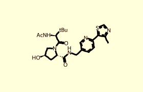 CC(=O)N[C@H](C(=O)N1C[C@H](O)C[C@H]1C(=O)NCc1ccc(-c2scnc2C)nc1)C(C)(C)C